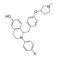 CN1CCC(Oc2ccc(CC3c4ccc(O)cc4CCN3c3ccc(F)cc3)cc2)C1